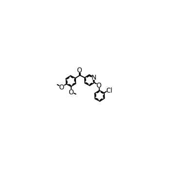 COc1ccc(C(=O)c2ccc(Oc3ccccc3Cl)nc2)cc1OC